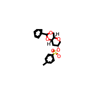 Cc1ccc(S(=O)(=O)O[C@H]2CO[C@@H]3COC(c4ccccc4)O[C@H]3C2)cc1